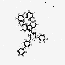 c1ccc(-c2ccc(-c3nc(-c4ccccc4)nc(-n4c5cccc6c7ccccc7c7cccc8oc9ccc4c(c9c87)c65)n3)cc2)cc1